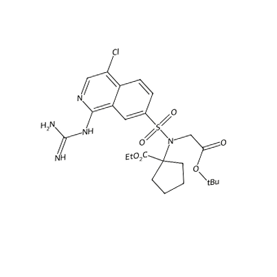 CCOC(=O)C1(N(CC(=O)OC(C)(C)C)S(=O)(=O)c2ccc3c(Cl)cnc(NC(=N)N)c3c2)CCCC1